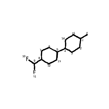 CC1CCC(C2CCC(C(F)F)CC2)CC1